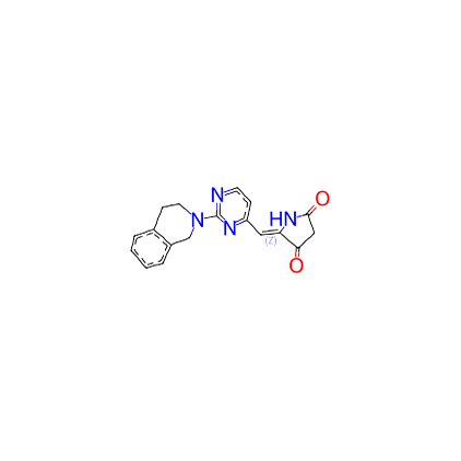 O=C1CC(=O)/C(=C/c2ccnc(N3CCc4ccccc4C3)n2)N1